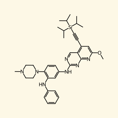 COc1cc(C#C[Si](C(C)C)(C(C)C)C(C)C)c2cnc(Nc3ccc(N4CCN(C)CC4)c(Nc4ccccc4)c3)nc2n1